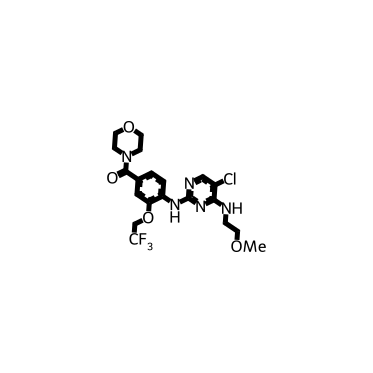 COCCNc1nc(Nc2ccc(C(=O)N3CCOCC3)cc2OCC(F)(F)F)ncc1Cl